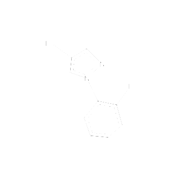 Fc1ccccc1-n1cc(Br)cn1